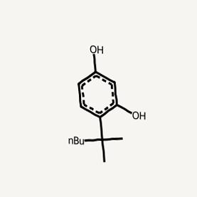 CCCCC(C)(C)c1ccc(O)cc1O